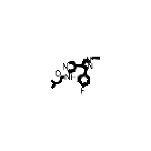 CCn1cc(-c2ccnc(NC(=O)CC(C)C)c2)c(-c2ccc(F)cc2)n1